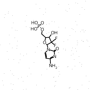 Nc1ccn(C2OC(COP(=O)(O)O)C(O)C2(F)F)c(=O)n1